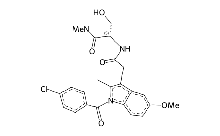 CNC(=O)[C@H](CO)NC(=O)Cc1c(C)n(C(=O)c2ccc(Cl)cc2)c2ccc(OC)cc12